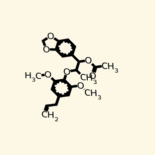 C=CCc1cc(OC)c(OC(C)C(OC(C)=O)c2ccc3c(c2)OCO3)c(OC)c1